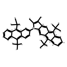 Cc1c(C)n(-c2ccc3c(C(C)(C)C)c4ccccc4c(C(C)(C)C)c3c2)c2cc3c(C(C)(C)C)c4ccccc4c(C(C)(C)C)c3cc12